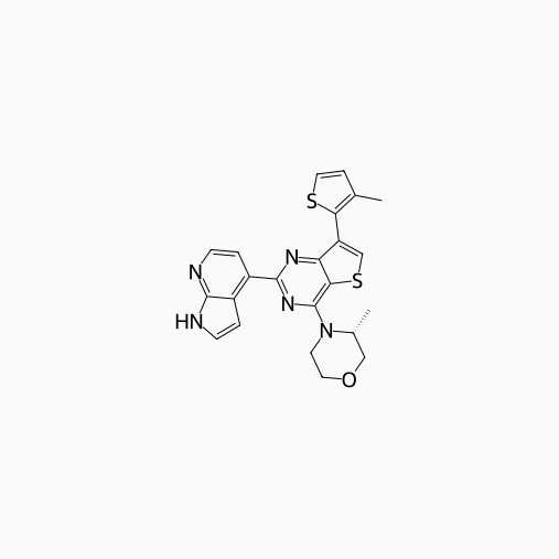 Cc1ccsc1-c1csc2c(N3CCOC[C@H]3C)nc(-c3ccnc4[nH]ccc34)nc12